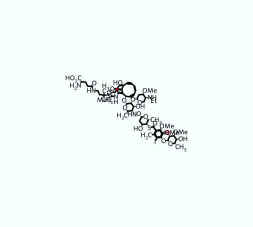 CCN[C@H]1CO[C@@H](O[C@H]2[C@H](O[C@H]3C#C/C=C\C#C[C@]4(O)CC(=O)C(NC(=O)OC)=C3/C4=C\CSSC(C)(C)CCNC(=O)CC[C@H](N)C(=O)O)O[C@H](C)[C@@H](NO[C@H]3C[C@H](O)[C@H](SC(=O)c4c(C)c(I)c(O[C@@H]5O[C@@H](C)[C@H](O)[C@@H](OC)[C@H]5O)c(OC)c4OC)[C@@H](C)O3)[C@@H]2O)C[C@@H]1OC